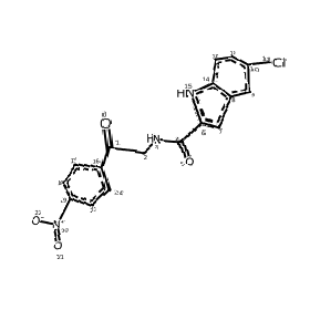 O=C(CNC(=O)c1cc2cc(Cl)ccc2[nH]1)c1ccc([N+](=O)[O-])cc1